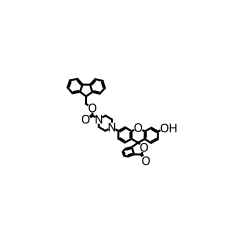 O=C1OC2(c3ccc(O)cc3Oc3cc(N4CCN(C(=O)OCC5c6ccccc6-c6ccccc65)CC4)ccc32)c2ccccc21